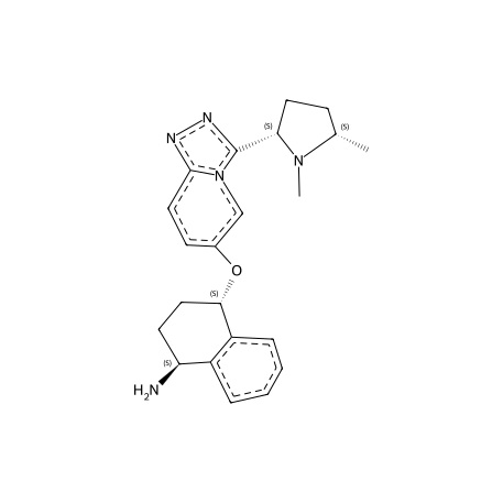 C[C@H]1CC[C@@H](c2nnc3ccc(O[C@H]4CC[C@H](N)c5ccccc54)cn23)N1C